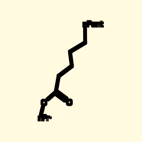 CC[CH]OC(=O)CCCCCCCCC